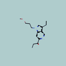 CCC(=O)c1cc2c(cn1)c(CC)cn2CCCOC